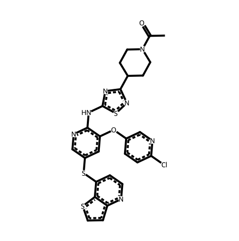 CC(=O)N1CCC(c2nsc(Nc3ncc(Sc4ccnc5ccsc45)cc3Oc3ccc(Cl)nc3)n2)CC1